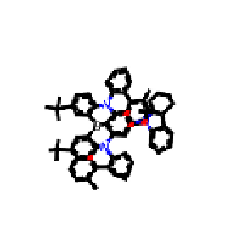 Cc1ccccc1-c1ccccc1N1c2ccc(C(C)(C)C)cc2B2c3cc(C(C)(C)C)ccc3N(c3ccccc3-c3ccccc3C)c3cc(N4c5ccccc5C5CCCCC54C)cc1c32